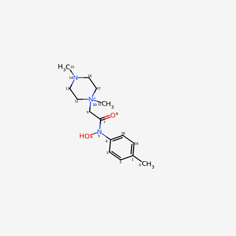 Cc1ccc(N(O)C(=O)C[N+]2(C)CCN(C)CC2)cc1